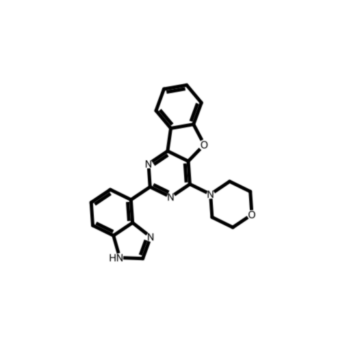 c1cc(-c2nc(N3CCOCC3)c3oc4ccccc4c3n2)c2nc[nH]c2c1